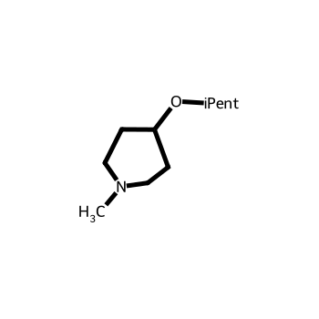 CCCC(C)OC1CCN(C)CC1